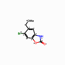 COCc1cc2[nH]c(=O)oc2cc1Br